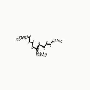 CCCCCCCCCCCCCCC(CCCCCCCCCCCCCC)NC